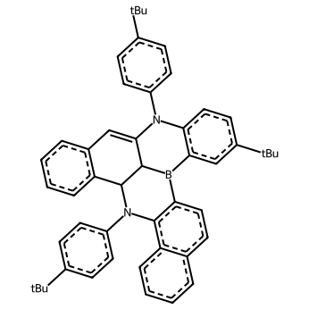 CC(C)(C)c1ccc(N2C3=Cc4ccccc4C4C3B(c3cc(C(C)(C)C)ccc32)c2ccc3ccccc3c2N4c2ccc(C(C)(C)C)cc2)cc1